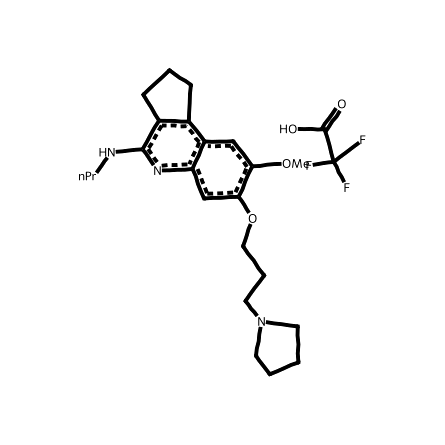 CCCNc1nc2cc(OCCCN3CCCC3)c(OC)cc2c2c1CCC2.O=C(O)C(F)(F)F